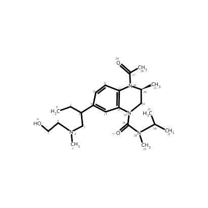 CCC(CN(C)CCO)c1ccc2c(c1)N(C(=O)N(C)C(C)C)C[C@H](C)N2C(C)=O